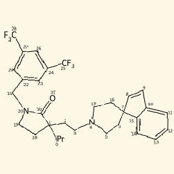 CC(C)C1(CCN2CCC3(C=Cc4ccccc43)CC2)CCN(Cc2cc(C(F)(F)F)cc(C(F)(F)F)c2)C1=O